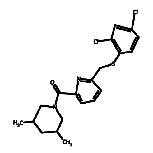 CC1CC(C)CN(C(=O)c2cccc(CSc3ccc(Cl)cc3Cl)n2)C1